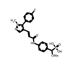 COC(c1ccc(NC(=O)C=Cc2cnn(C)c2-c2ccc(F)cc2)cc1)P(=O)(O)O